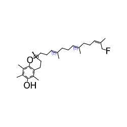 CC(=CCC/C(C)=C/CC/C(C)=C/CC[C@]1(C)CCc2c(C)c(O)c(C)c(C)c2O1)CF